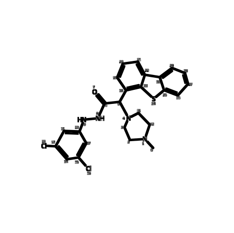 CN1CCN(C(C(=O)NNc2cc(Cl)cc(Cl)c2)c2cccc3c2sc2ccccc23)CC1